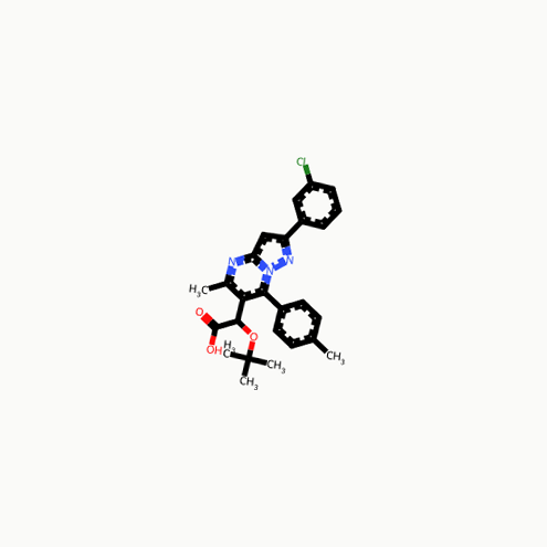 Cc1ccc(-c2c(C(OC(C)(C)C)C(=O)O)c(C)nc3cc(-c4cccc(Cl)c4)nn23)cc1